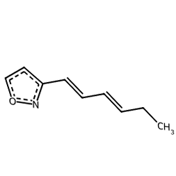 CCC=CC=Cc1ccon1